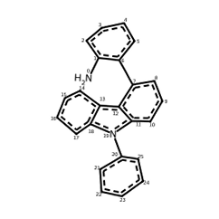 Nc1ccccc1-c1cccc2c1c1ccccc1n2-c1ccccc1